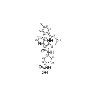 Cc1ccc(OCC2CC2)c(-c2ccnc3c(C(=O)NC4CCC(NC(=O)O)CC4)c(C)[nH]c23)c1